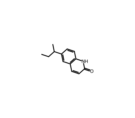 CCC(C)c1ccc2[nH]c(=O)ccc2c1